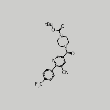 CC(C)(C)OC(=O)N1CCN(C(=O)c2cnc(-c3ccc(C(F)(F)F)cc3)c(C#N)c2)CC1